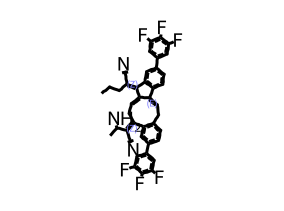 CCC/C(C#N)=C1\C2=CC/C(=C(/C#N)C(C)N)c3cc(-c4cc(F)c(F)c(F)c4)ccc3C/C=C\2c2ccc(-c3cc(F)c(F)c(F)c3)cc21